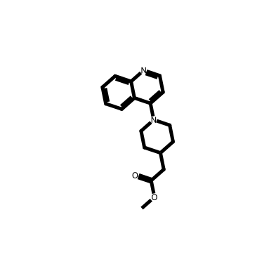 COC(=O)CC1CCN(c2ccnc3ccccc23)CC1